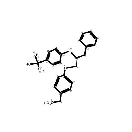 O=C(O)Cc1ccc(OC[C@H](Cc2ccccc2)Oc2ccc(C(O)(C(F)(F)F)C(F)(F)F)cc2)cc1